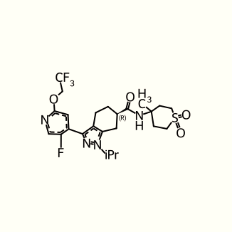 CC(C)n1nc(-c2cc(OCC(F)(F)F)ncc2F)c2c1C[C@H](C(=O)NC1(C)CCS(=O)(=O)CC1)CC2